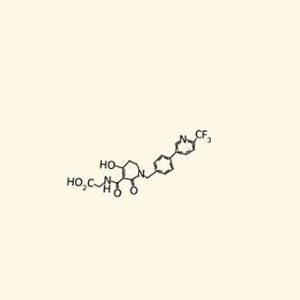 O=C(O)CNC(=O)C1=C(O)CCN(Cc2ccc(-c3ccc(C(F)(F)F)nc3)cc2)C1=O